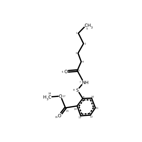 CCCCCC(=O)NSc1ccccc1C(=O)OC